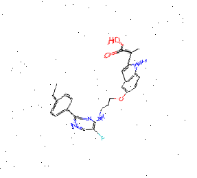 CCc1ccc(-c2ncc(F)c(NCCCOc3ccc4[nH]c(C(C)C(=O)O)cc4c3)n2)cc1